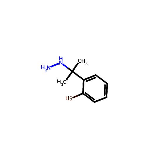 CC(C)(NN)c1ccccc1S